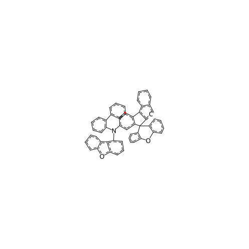 c1ccc(-c2ccccc2N(c2ccc3c(c2)C2(c4ccccc4Oc4ccccc42)c2ccc4ccccc4c2-3)c2cccc3oc4ccccc4c23)cc1